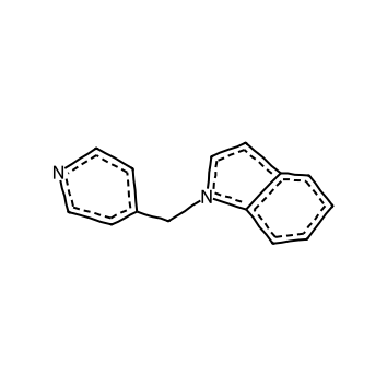 c1ccc2c(c1)ccn2Cc1ccncc1